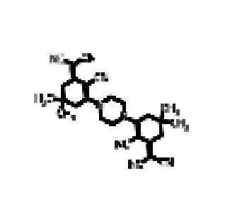 CC1(C)CC(=C(C#N)C#N)C(C#N)=C(N2CCN(C3=C(C#N)C(=C(C#N)C#N)CC(C)(C)C3)CC2)C1